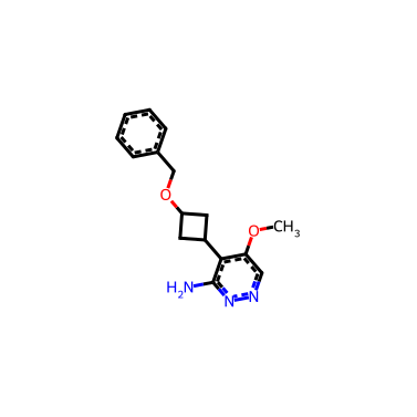 COc1cnnc(N)c1C1CC(OCc2ccccc2)C1